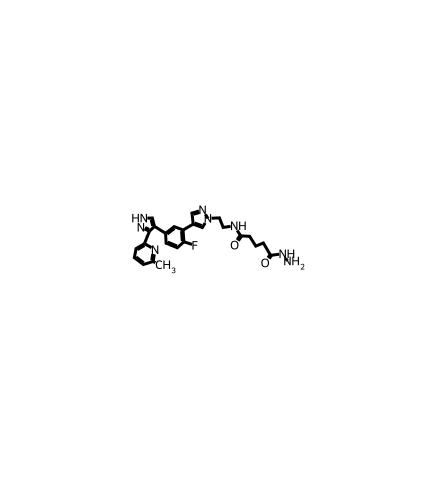 Cc1cccc(-c2n[nH]cc2-c2ccc(F)c(-c3cnn(CCNC(=O)CCCC(=O)NN)c3)c2)n1